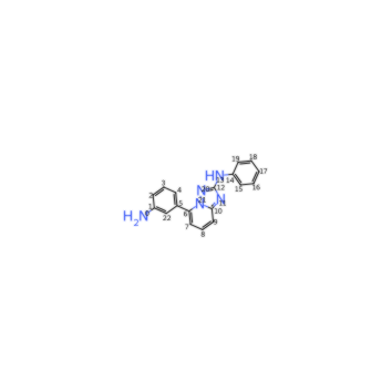 Nc1cccc(-c2cccc3nc(Nc4ccccc4)nn23)c1